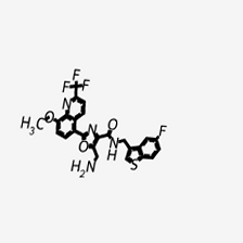 COc1ccc(-c2nc(C(=O)NCc3csc4ccc(F)cc34)c(CN)o2)c2ccc(C(F)(F)F)nc12